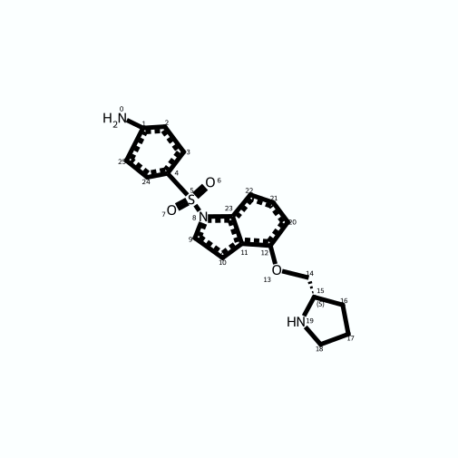 Nc1ccc(S(=O)(=O)n2ccc3c(OC[C@@H]4CCCN4)cccc32)cc1